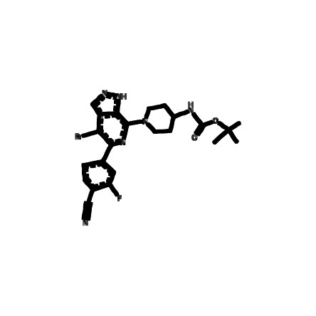 CC(C)(C)OC(=O)NC1CCN(c2nc(-c3ccc(C#N)c(F)c3)c(Br)c3cn[nH]c23)CC1